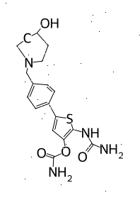 NC(=O)Nc1sc(-c2ccc(CN3CCC(O)CC3)cc2)cc1OC(N)=O